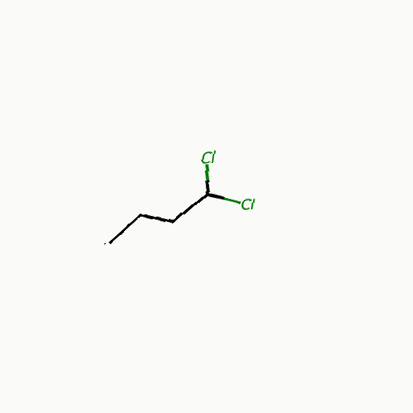 [CH2]CCC(Cl)Cl